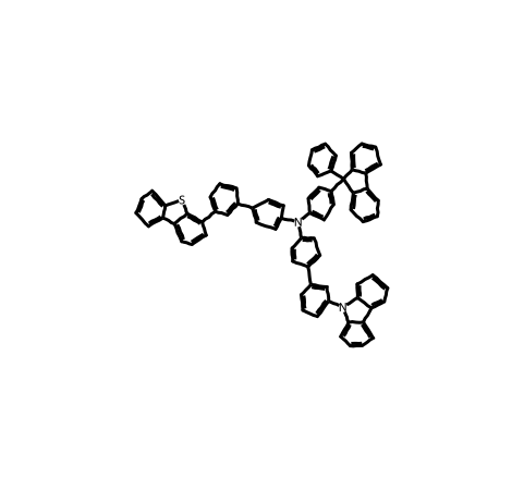 c1ccc(C2(c3ccc(N(c4ccc(-c5cccc(-c6cccc7c6sc6ccccc67)c5)cc4)c4ccc(-c5cccc(-n6c7ccccc7c7ccccc76)c5)cc4)cc3)c3ccccc3-c3ccccc32)cc1